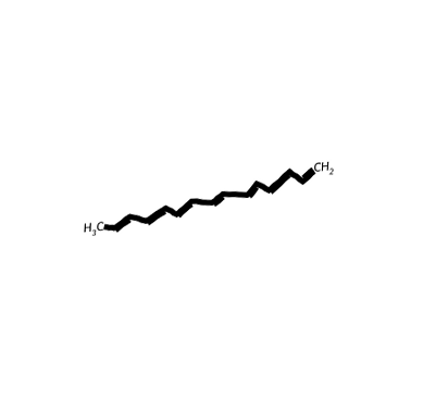 C=CC=CC=CC=CC=CC=CC=CC